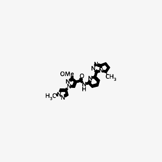 COc1nn(-c2cnn(C)c2)cc1C(=O)Nc1cccc(-c2nnc3n2[C@@H](C)CC3)n1